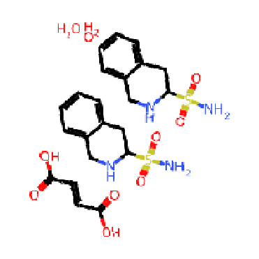 NS(=O)(=O)C1Cc2ccccc2CN1.NS(=O)(=O)C1Cc2ccccc2CN1.O.O.O=C(O)/C=C/C(=O)O